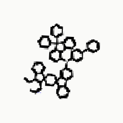 C=CC1=C(/C=C\C)C2(CCC3(CC2)c2ccccc2-c2ccc(N(c4ccc(-c5ccccc5)cc4)c4cccc5c4-c4ccccc4C5(c4ccccc4)c4ccccc4)cc23)c2ccccc21